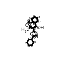 CN1C(c2nnc(C3CCCCC3)o2)=C(O)c2ccccc2S1(=O)=O